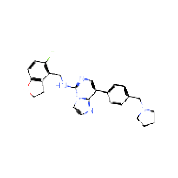 Fc1ccc2c(c1CNc1ncc(-c3ccc(CN4CCCC4)cc3)c3nccn13)CCO2